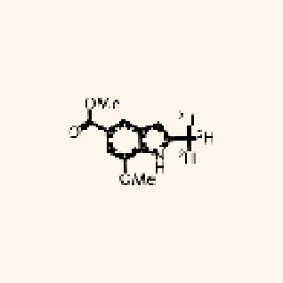 [2H]C([2H])([2H])c1cc2cc(C(=O)OC)cc(OC)c2[nH]1